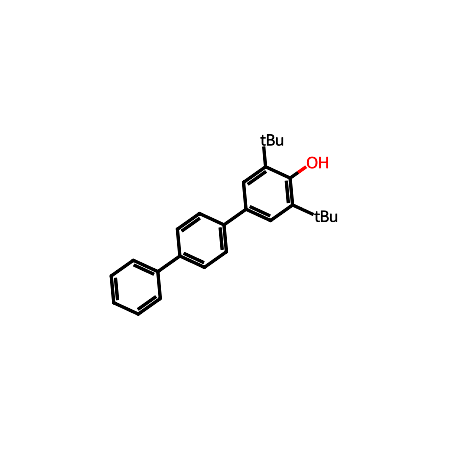 CC(C)(C)c1cc(-c2ccc(-c3ccccc3)cc2)cc(C(C)(C)C)c1O